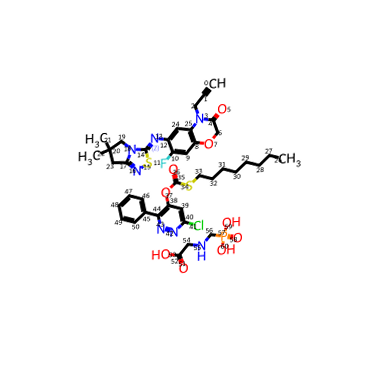 C#CCN1C(=O)COc2cc(F)c(/N=c3\snc4n3CC(C)(C)C4)cc21.CCCCCCCCSC(=O)Oc1cc(Cl)nnc1-c1ccccc1.O=C(O)CNCP(=O)(O)O